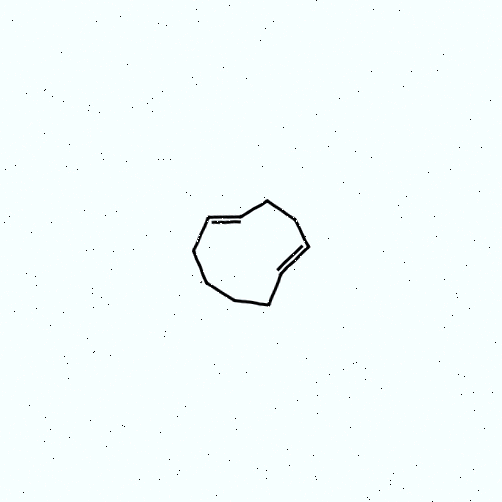 [CH]1C/C=C/CC/C=C/CC1